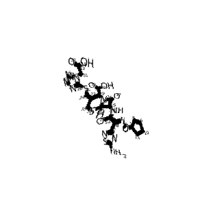 Nc1nc(C(=NOC2C=CCC2)C(=O)NC2C(=O)N3C(C(=O)O)=C(CSc4nnnn4CC(=O)O)CS[C@@H]23)ns1